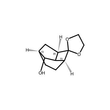 OC1C2[C@H]3C[C@@H]1CC[C@@H]2C31OCCO1